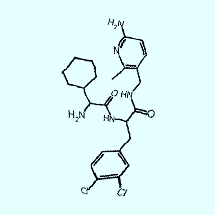 Cc1nc(N)ccc1CNC(=O)C(Cc1ccc(Cl)c(Cl)c1)NC(=O)C(N)C1CCCCC1